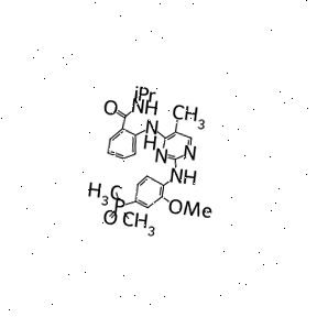 COc1cc(P(C)(C)=O)ccc1Nc1ncc(C)c(Nc2ccccc2C(=O)NC(C)C)n1